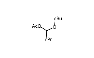 CCCCOC(CCC)OC(C)=O